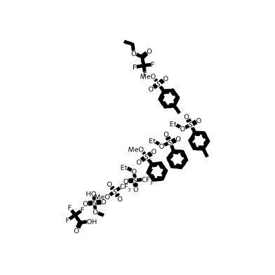 CCOC(=O)C(F)(F)F.CCOS(=O)(=O)C(F)(F)F.CCOS(=O)(=O)c1ccc(C)cc1.CCOS(=O)(=O)c1ccccc1.COS(=O)(=O)C(F)(F)F.COS(=O)(=O)O.COS(=O)(=O)c1ccc(C)cc1.COS(=O)(=O)c1ccccc1.O=C(O)C(F)(F)F